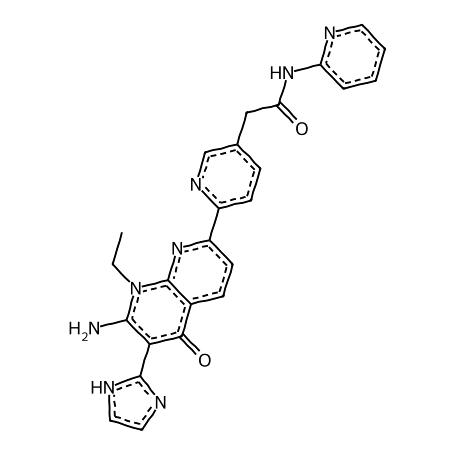 CCn1c(N)c(-c2ncc[nH]2)c(=O)c2ccc(-c3ccc(CC(=O)Nc4ccccn4)cn3)nc21